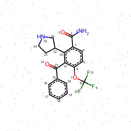 NC(=O)c1ccc(OC(F)(F)F)c(C(=O)c2ccccc2)c1C1CCNC1